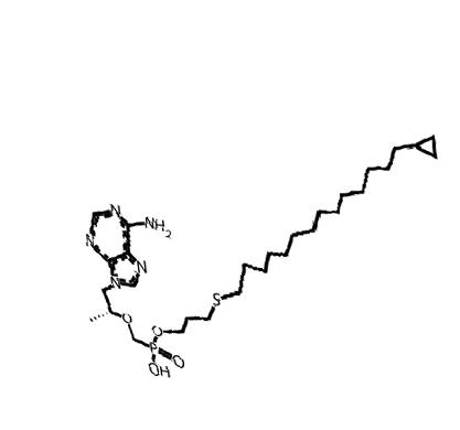 C[C@H](Cn1cnc2c(N)ncnc21)OCP(=O)(O)OCCCSCCCCCCCCCCCCCCC1CC1